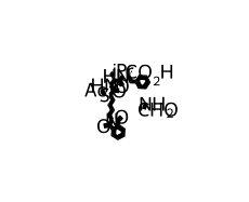 CC(=O)SC(CCCCN1C(=O)c2ccccc2C1=O)C(=O)N[C@@H](CC(C)C)C(=O)N[C@@H](Cc1ccccc1)C(=O)O.NC=O